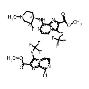 COC(=O)c1nc2c(Cl)nccn2c1SC(F)(F)F.COC(=O)c1nc2c(N[C@@H]3CCN(C)C[C@@H]3F)nccn2c1SC(F)(F)F